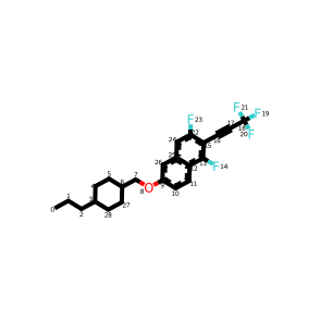 CCCC1CCC(COc2ccc3c(F)c(C#CC(F)(F)F)c(F)cc3c2)CC1